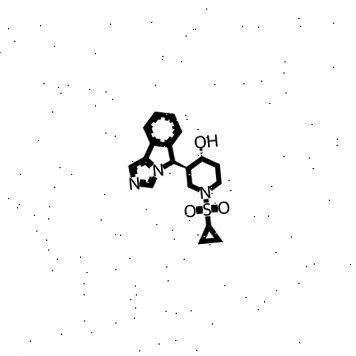 O=S(=O)(C1CC1)N1CC[C@@H](O)[C@H](C2c3ccccc3-c3cncn32)C1